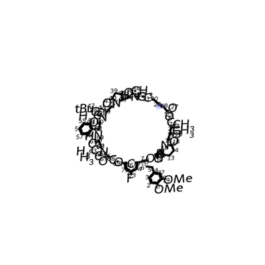 COc1ccc(CC[C@H]2OC(=O)[C@@H]3CCCCN3C(=O)C(=O)C(C)(C)COC(=O)/C=C/CCCN(C)C(=O)[C@@H]3CCCN3C(=O)[C@H](COC(C)(C)C)N(C)C(=O)[C@H](c3ccccc3)NC(=O)[C@H](C)N(C)C(=O)COc3cc(F)cc2c3)cc1OC